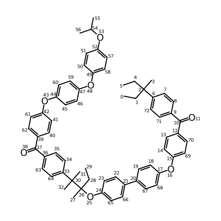 CCC(C)(CC)c1ccc(C(=O)c2ccc(Oc3ccc(-c4ccc(OC(C)(CC)C(C)(C)c5ccc(C(=O)c6ccc(Oc7ccc(Oc8ccc(OC(C)C)cc8)cc7)cc6)cc5)cc4)cc3)cc2)cc1